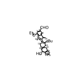 CCOc1cc(C=O)cc2c1N(C)N(N1CCC3(Cc4scnc4C(O)C3)CC1C(C)(C)C)C2C